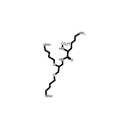 CCCCCCCCCCCCCCOCC(CNC(=O)C(CCCCN)NC(=O)O)OCCCCCCCCCCCCCC